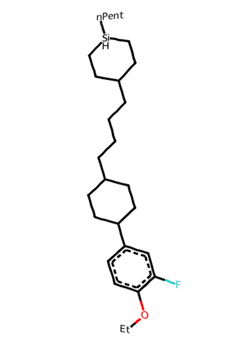 CCCCC[SiH]1CCC(CCCCC2CCC(c3ccc(OCC)c(F)c3)CC2)CC1